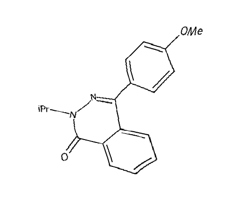 COc1ccc(-c2nn(C(C)C)c(=O)c3ccccc23)cc1